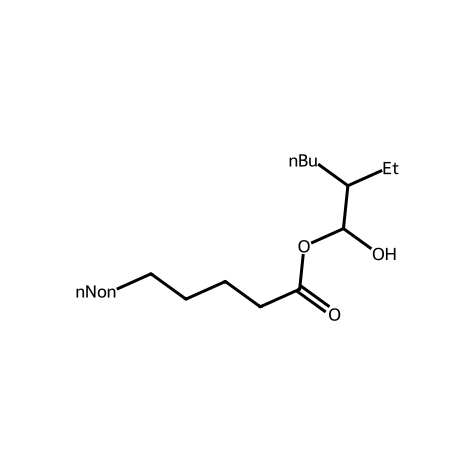 CCCCCCCCCCCCCC(=O)OC(O)C(CC)CCCC